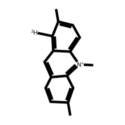 [2H]c1c(C)ccc2c1cc1ccc(C)cc1[n+]2C